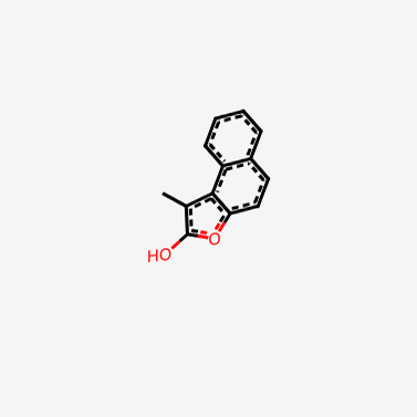 Cc1c(O)oc2ccc3ccccc3c12